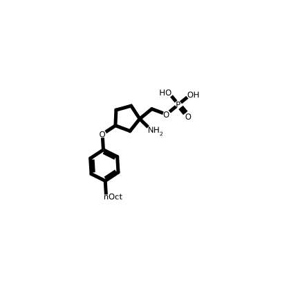 CCCCCCCCc1ccc(OC2CCC(N)(COP(=O)(O)O)C2)cc1